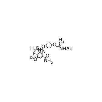 CC(=O)N[C@@H](C)CO[C@H]1CC[C@H](Oc2nc3c(C(N)=O)cc(OC4CC4)c(F)c3n2C)CC1